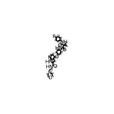 O=C(NCCN1CCOCC1)c1cc2c(Oc3ccc(NC(=O)C4(C(=O)Nc5ccc(F)cc5)CC4)cc3)ccnc2[nH]1